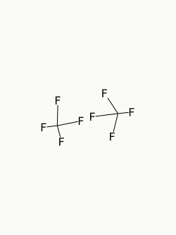 FC(F)(F)F.FC(F)(F)F